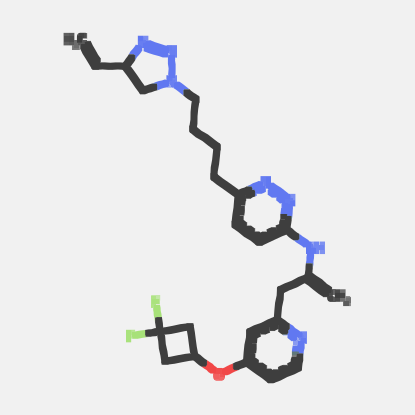 C=CC1CN(CCCCc2ccc(NC(=C)Cc3cc(OC4CC(F)(F)C4)ccn3)nn2)N=N1